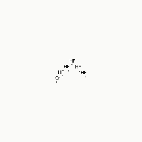 F.F.F.F.F.[Cr]